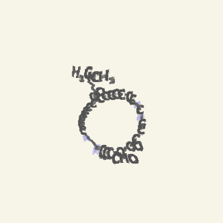 CN(C)CCCC(=O)OC1CCCCCCCC/C=C\C/C=C\CCCCC(=O)OCCOC(C=O)CCC/C=C\C/C=C\CCCCCCCC1